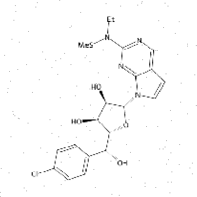 CCN(SC)c1ncc2ccn([C@@H]3O[C@H]([C@H](O)c4ccc(Cl)cc4)[C@@H](O)[C@H]3O)c2n1